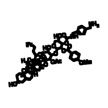 COc1ccc(C(=O)OC2C(OC3C(O)COC(O[C@H]4C[C@H]5[C@@H]6CC=C7C[C@@H](O)CC[C@]7(C)C6CC[C@]5(C)[C@@]4(O)[C@H](C)C(=O)CCC(C)C)C3OC(C)=O)OCC(O)C2OC(=O)NCc2ccc(CN)cc2)cc1